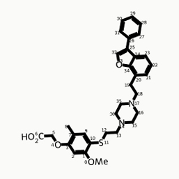 COc1cc(OCC(=O)O)c(C)cc1SCCN1CCN(CCc2cccc3c(-c4ccccc4)coc23)CC1